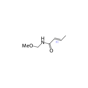 C/C=C/C(=O)NCOC